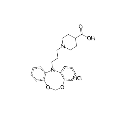 Cl.O=C(O)C1CCN(CCCN2c3ccccc3OCOc3ccccc32)CC1